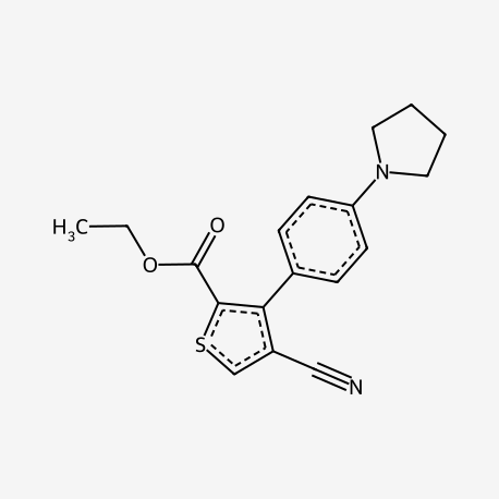 CCOC(=O)c1scc(C#N)c1-c1ccc(N2CCCC2)cc1